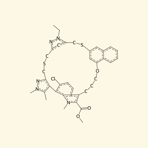 CCn1nc2cc1CSc1cc(c3ccccc3c1)OCCCc1c(C(=O)OC)n(C)c3c(c(Cl)ccc13)-c1c(nn(C)c1C)CSC2